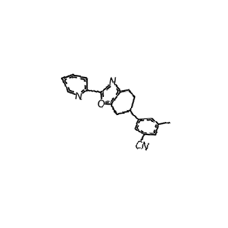 Cc1cc(C#N)cc(C2CCc3nc(-c4ccccn4)oc3C2)c1